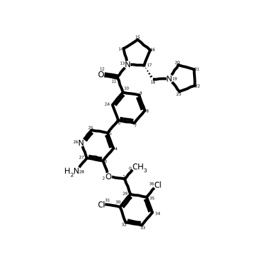 CC(Oc1cc(-c2cccc(C(=O)N3CCC[C@@H]3CN3CCCC3)c2)cnc1N)c1c(Cl)cccc1Cl